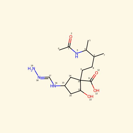 CC(=O)NC(C)C(C)CCC1(C(=O)O)CC(NC=NN)CC1O